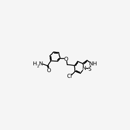 NC(=O)c1cccc(OCC2=CC3=CNSN3C=C2Cl)c1